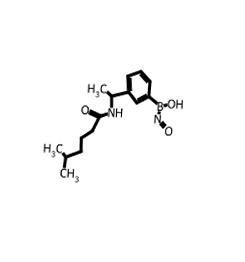 CC(C)CCCC(=O)NC(C)c1cccc(B(O)N=O)c1